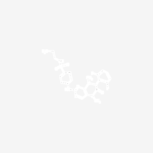 CN1C(=O)C(c2c(F)cccc2F)N(C)c2nc(Nc3ccc(S(=O)(=O)NCCC(F)(F)F)cc3)ncc21